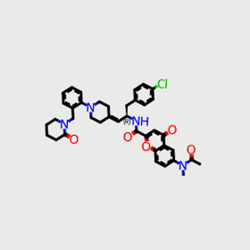 CC(=O)N(C)c1ccc2oc(C(=O)N[C@@H](C=C3CCN(c4ccccc4CN4CCCCC4=O)CC3)Cc3ccc(Cl)cc3)cc(=O)c2c1